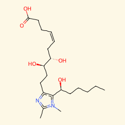 CCCCC[C@H](O)c1c(CC[C@@H](O)[C@@H](O)C/C=C\CCC(=O)O)nc(C)n1C